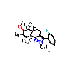 C[C@@H]1C(=O)C(C#N)=C[C@]2(C)c3nn(C)c(-c4ccccc4F)c3CC[C@@H]12